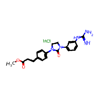 COC(=O)CCc1ccc(N2CCN(c3cccc(NC(=N)N)c3)C2=O)cc1.Cl